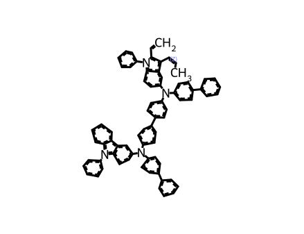 C=Cc1c(/C=C\C)c2cc(N(c3ccc(-c4ccccc4)cc3)c3ccc(-c4ccc(N(c5ccc(-c6ccccc6)cc5)c5ccc6c(c5)c5ccccc5n6-c5ccccc5)cc4)cc3)ccc2n1-c1ccccc1